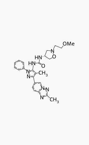 COCCN1C[C@@H](NC(=O)Nc2c(C)c(-c3ccc4nc(C)nn4c3)nn2-c2ccccc2)CO1